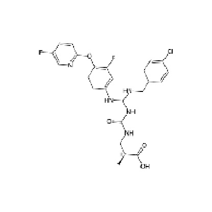 C[C@@H](CNC(=O)NC(NCC1C=CC(Cl)=CC1)NC1=CC(F)=C(Oc2ccc(F)cn2)CC1)C(=O)O